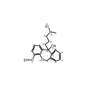 CCOc1cccc2c1OCc1ccccc1C2(C#N)CCCN(C)CC